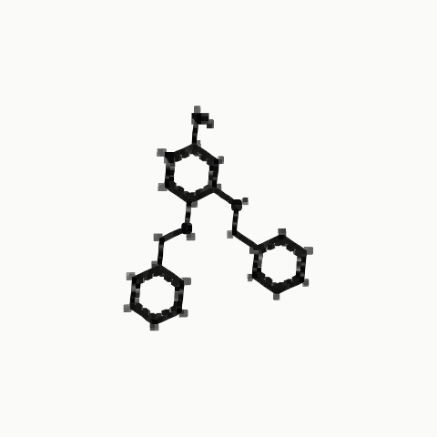 Nc1cc(OCc2ccccc2)c(OCc2ccccc2)cn1